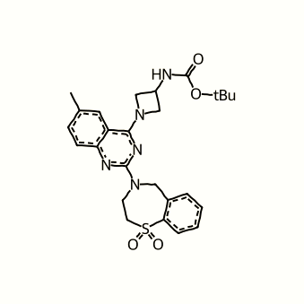 Cc1ccc2nc(N3CCS(=O)(=O)c4ccccc4C3)nc(N3CC(NC(=O)OC(C)(C)C)C3)c2c1